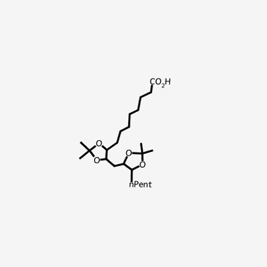 CCCCCC1OC(C)(C)OC1CC1OC(C)(C)OC1CCCCCCCC(=O)O